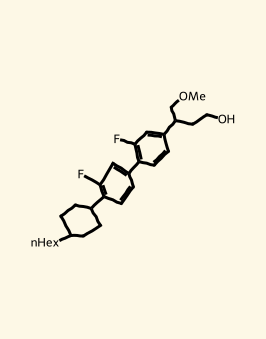 CCCCCCC1CCC(c2ccc(-c3ccc(C(CCO)COC)cc3F)cc2F)CC1